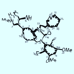 CN/C=C(\C(C)=N)c1cc2c(cn1)CN(c1c(F)c(OC)cc(OC)c1F)C(=O)N2Cc1ccccn1